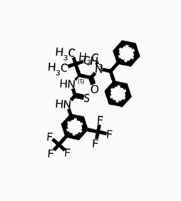 CN(C(=O)[C@@H](NC(=S)Nc1cc(C(F)(F)F)cc(C(F)(F)F)c1)C(C)(C)C)C(c1ccccc1)c1ccccc1